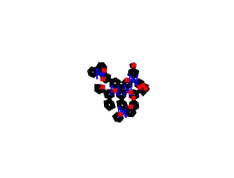 CC(C)(C)c1ccc(N(c2ccc(C(C)(C)C)cc2)c2ccc3c(c2)N(c2cc(-c4ccccc4)cc(-c4ccccc4)c2)c2cc(-c4ccc5c(c4)c4ccccc4n5-c4ccccc4)cc4c2B3c2ccc(-c3ccc5c(c3)c3cccc6c7ccccc7n5c63)cc2N4c2cc(-c3ccccc3)cc(-c3ccccc3)c2)cc1